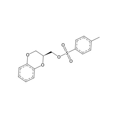 Cc1ccc(S(=O)(=O)OC[C@@H]2COc3ccccc3O2)cc1